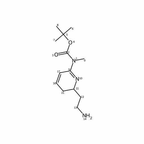 CN(C(=O)OC(C)(C)C)C1=NC(CCN)CC=C1